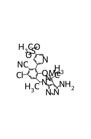 COc1c(C(C)n2nc(C)c3c(N)ncnc32)cc(Cl)c(C#N)c1-c1cncc(S(C)(=O)=O)c1